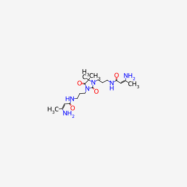 C/C(N)=C/C(=O)NCCCN1C(=O)N(CCCNC(=O)/C=C(/C)N)C(C)(C)C1=O